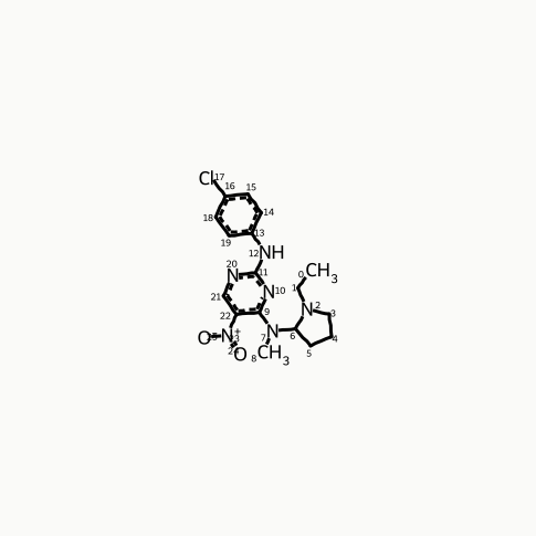 CCN1CCCC1N(C)c1nc(Nc2ccc(Cl)cc2)ncc1[N+](=O)[O-]